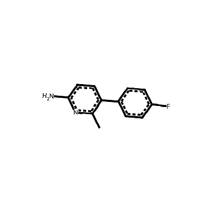 Cc1nc(N)ccc1-c1ccc(F)cc1